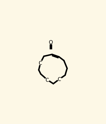 C1=CCCCCCCCCCC1.C=O